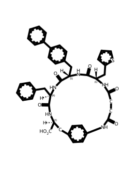 O=C1CCC(=O)N[C@@H](Cc2cccs2)C(=O)N[C@@H](Cc2ccc(-c3ccccc3)cc2)C(=O)N[C@H](Cc2ccccc2)C(=O)N[C@H](C(=O)O)Cc2ccc(cc2)N1